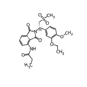 CCOc1cc([C@@H](CS(C)(=O)=O)N2C(=O)c3cccc(NC(=O)CC)c3C2=O)ccc1OC